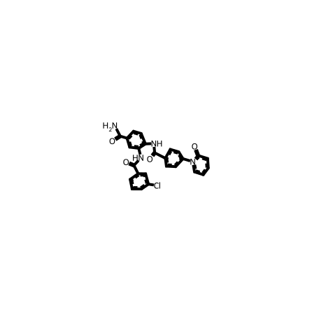 NC(=O)c1ccc(NC(=O)c2ccc(-n3ccccc3=O)cc2)c(NC(=O)c2cccc(Cl)c2)c1